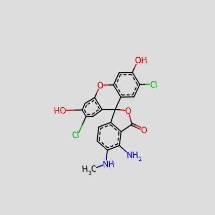 CNc1ccc2c(c1N)C(=O)OC21c2cc(Cl)c(O)cc2Oc2cc(O)c(Cl)cc21